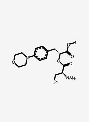 CN[C@@H](CC(C)C)C(=O)O[C@H](Cc1ccc(N2CCOCC2)cc1)C(=O)OI